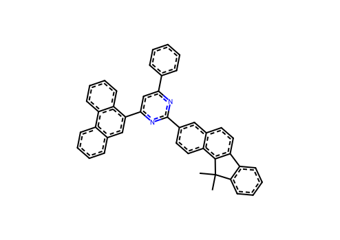 CC1(C)c2ccccc2-c2ccc3cc(-c4nc(-c5ccccc5)cc(-c5cc6ccccc6c6ccccc56)n4)ccc3c21